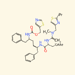 C=C(NC(COC)C(=O)NC(CCC(Cc1ccccc1)NC(=O)OCc1cncs1)Cc1ccccc1)N(C)Cc1csc(C(C)C)n1